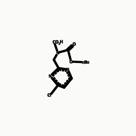 CCCCOC(=O)N(Cc1nccc(Cl)n1)C(=O)O